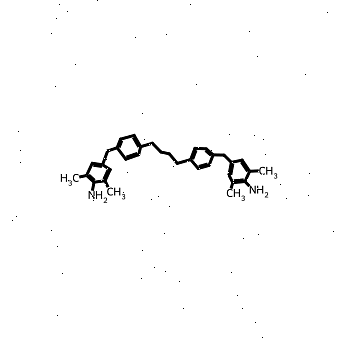 Cc1cc(Cc2ccc(CCCCc3ccc(Cc4cc(C)c(N)c(C)c4)cc3)cc2)cc(C)c1N